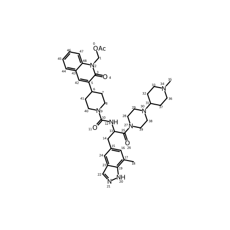 CC(=O)OCn1c(=O)c(C2CCN(C(=O)NC(Cc3cc(C)c4[nH]ncc4c3)C(=O)N3CCN(C4CCN(C)CC4)CC3)CC2)cc2ccccc21